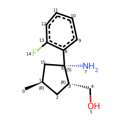 C[C@@H]1C[C@@H](CO)[C@](N)(c2ccccc2F)C1